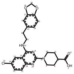 O=C(O)C1CCN(c2nc(NCCc3ccc4c(c3)OCO4)c3cc(Cl)ccc3n2)CC1